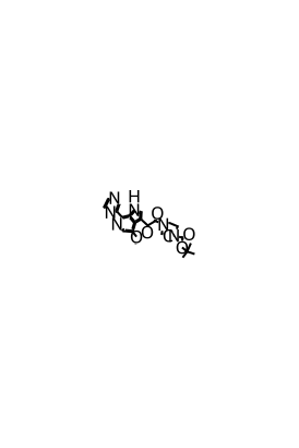 COc1cnc(-c2cnccn2)c2[nH]cc(C(=O)C(=O)N3CCN(C(=O)OC(C)(C)C)CC3)c12